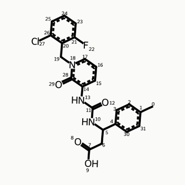 Cc1ccc(C(CC(=O)O)NC(=O)Nc2cccn(Cc3c(F)cccc3Cl)c2=O)cc1